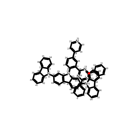 c1ccc(-c2nc(-c3ccccc3)nc(-c3cc(-c4ccncc4)ccc3-n3c4cc(-n5c6ccccc6c6ccccc65)ccc4c4ccc(-n5c6ccccc6c6ccccc65)cc43)n2)cc1